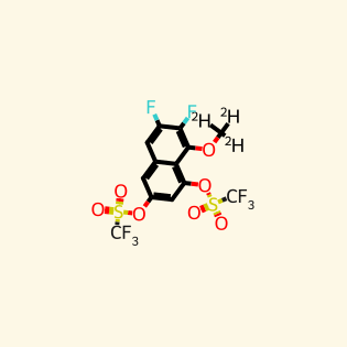 [2H]C([2H])([2H])Oc1c(F)c(F)cc2cc(OS(=O)(=O)C(F)(F)F)cc(OS(=O)(=O)C(F)(F)F)c12